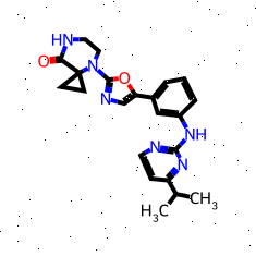 CC(C)c1ccnc(Nc2cccc(-c3cnc(N4CCNC(=O)C45CC5)o3)c2)n1